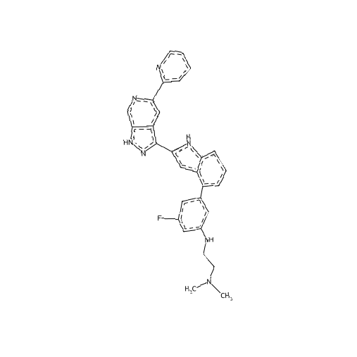 CN(C)CCNc1cc(F)cc(-c2cccc3[nH]c(-c4n[nH]c5cnc(-c6ccccn6)cc45)cc23)c1